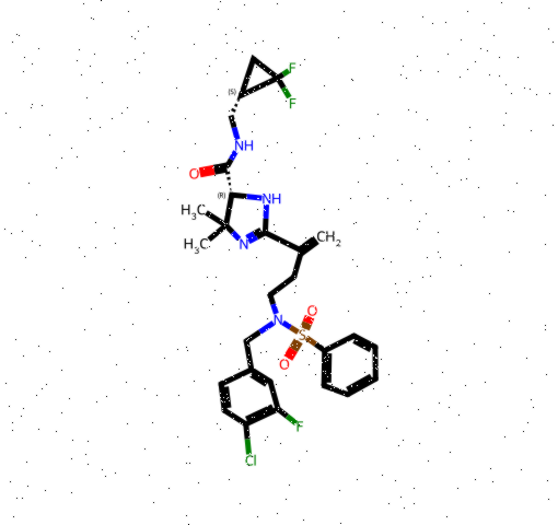 C=C(CCN(Cc1ccc(Cl)c(F)c1)S(=O)(=O)c1ccccc1)C1=NC(C)(C)[C@H](C(=O)NC[C@@H]2CC2(F)F)N1